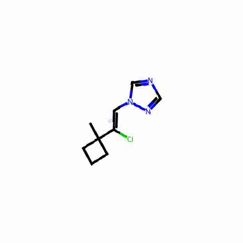 CC1(/C(Cl)=C/n2cncn2)CCC1